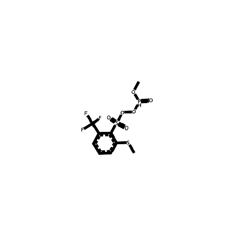 CO[PH](=O)OOS(=O)(=O)c1c(SC)cccc1C(F)(F)F